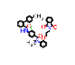 Cc1ccc(-c2ccccc2C(=O)Nc2ccc(C(=O)N(C)c3ccccc3OCCCN3C(=O)c4ccccc4C3=O)cc2Cl)cc1